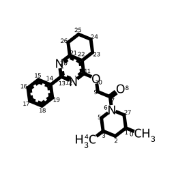 CC1CC(C)CN(C(=O)COc2nc(-c3ccccc3)nc3c2CCCC3)C1